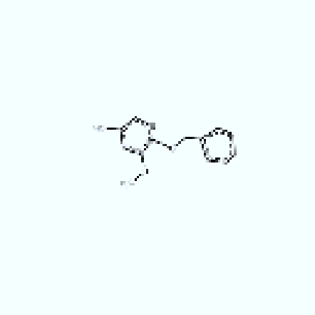 COc1cc(O)cnc1OCc1ccccc1